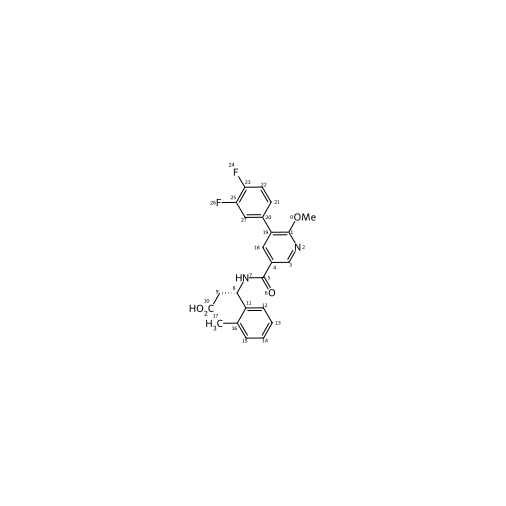 COc1ncc(C(=O)N[C@@H](CC(=O)O)c2ccccc2C)cc1-c1ccc(F)c(F)c1